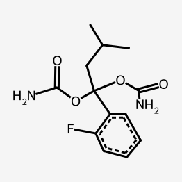 CC(C)CC(OC(N)=O)(OC(N)=O)c1ccccc1F